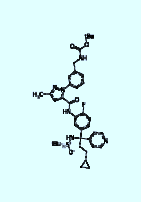 Cc1cc(C(=O)Nc2cc(C(CCC3CC3)(N[S@+]([O-])C(C)(C)C)c3ccncc3)ccc2F)n(-c2cccc(CNC(=O)OC(C)(C)C)c2)n1